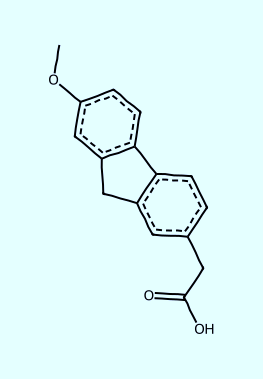 COc1ccc2c(c1)Cc1cc(CC(=O)O)ccc1-2